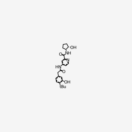 CC(C)(C)c1ccc(CC(=O)Nc2ccnc(C(=O)N[C@H]3CCC[C@@H]3O)c2)cc1O